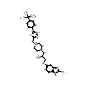 Cc1nc2cc(OCC(O)CN3CCN(Cc4nc(-c5ccc(C(C)(C)C)cc5)no4)CC3)ccc2s1